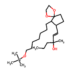 CCCC(C)(O)C=CC1CCC2(OCCO2)C1CCCCCCCO[Si](C)(C)C